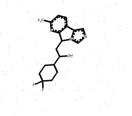 OC(CC1c2nc(C(F)(F)F)ccc2-c2cncn21)C1CCC(F)(F)CC1